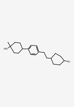 CCCCC1(C)CCC(c2ccc(CCC3CCC(CC)CC3)cc2)CC1